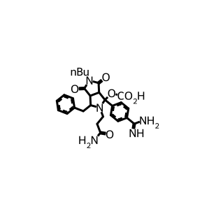 CCCCN1C(=O)C2C(Cc3ccccc3)N(CCC(N)=O)C(OC(=O)O)(c3ccc(C(=N)N)cc3)C2C1=O